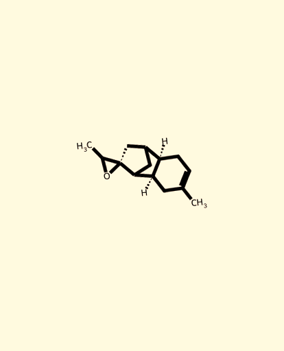 CC1=CC[C@@H]2C3CC([C@@H]2C1)[C@@]1(C3)OC1C